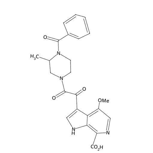 COc1cnc(C(=O)O)c2[nH]cc(C(=O)C(=O)N3CCN(C(=O)c4ccccc4)C(C)C3)c12